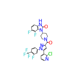 O=C(c1cc(-c2cccnc2Cl)n(-c2ccc(C(F)(F)F)c(F)c2)n1)N1CCC(n2c(=O)[nH]c3ccc(F)c(F)c32)CC1